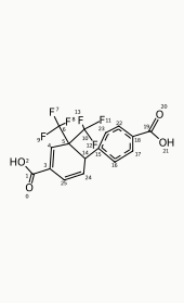 O=C(O)C1=CC(C(F)(F)F)(C(F)(F)F)C(c2ccc(C(=O)O)cc2)C=C1